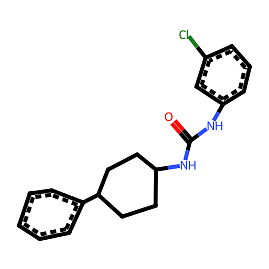 O=C(Nc1cccc(Cl)c1)NC1CCC(c2ccccc2)CC1